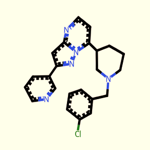 Clc1cccc(CN2CCCC(c3ccnc4cc(-c5cccnc5)nn34)C2)c1